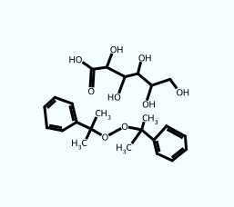 CC(C)(OOC(C)(C)c1ccccc1)c1ccccc1.O=C(O)C(O)C(O)C(O)C(O)CO